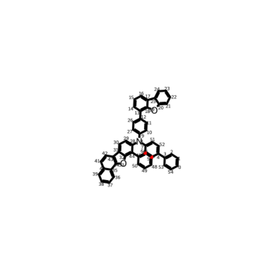 c1ccc(-c2ccc(N(c3ccc(-c4cccc5c4oc4ccccc45)cc3)c3ccc4c(oc5c6ccccc6ccc45)c3-c3ccccc3)cc2)cc1